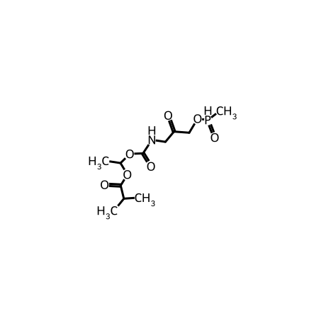 CC(OC(=O)NCC(=O)CO[PH](C)=O)OC(=O)C(C)C